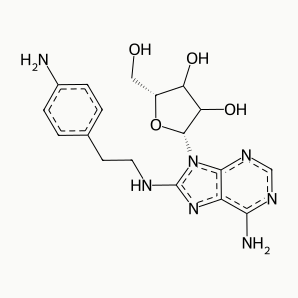 Nc1ccc(CCNc2nc3c(N)ncnc3n2[C@@H]2O[C@H](CO)C(O)C2O)cc1